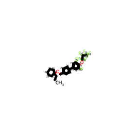 CCCC1(OCc2ccc(-c3cc(F)c(OC(F)(F)C(F)C(F)(F)F)c(F)c3)cc2)CCCCC1